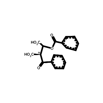 O=C(OC(C(=O)O)[C@H](C(=O)O)C(=O)c1ccccc1)c1ccccc1